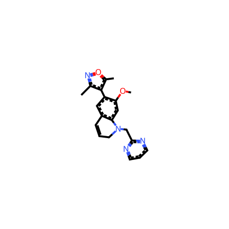 COc1cc2c(cc1-c1c(C)noc1C)C=CCN2Cc1ncccn1